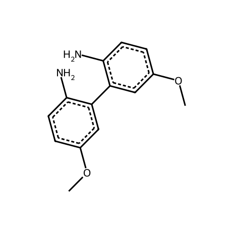 COc1ccc(N)c(-c2cc(OC)ccc2N)c1